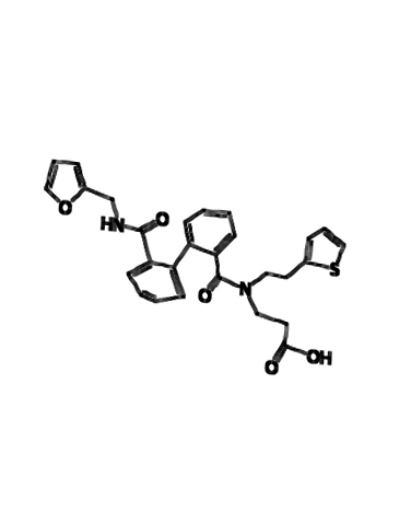 O=C(O)CCN(CCc1cccs1)C(=O)c1ccccc1-c1ccccc1C(=O)NCc1ccco1